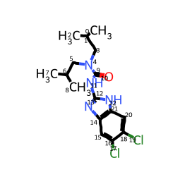 CC(C)CN(CC(C)C)C(=O)Nc1nc2cc(Cl)c(Cl)cc2[nH]1